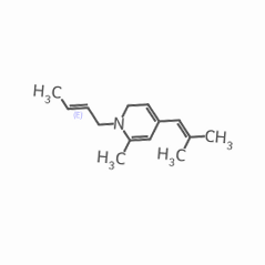 C/C=C/CN1CC=C(C=C(C)C)C=C1C